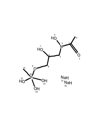 CC(=O)N(O)CC(O)COP(C)(O)(O)O.[NaH].[NaH]